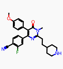 COc1ccc(-c2c(-c3ccc(C#N)c(F)c3)nc(CCC3CCNCC3)n(C)c2=O)cc1